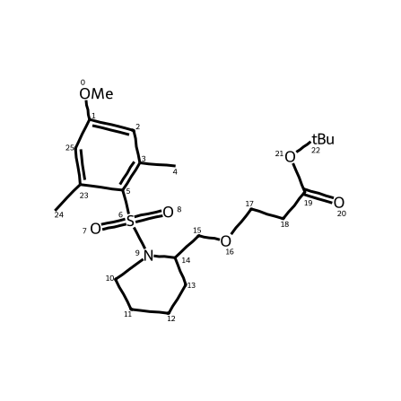 COc1cc(C)c(S(=O)(=O)N2CCCCC2COCCC(=O)OC(C)(C)C)c(C)c1